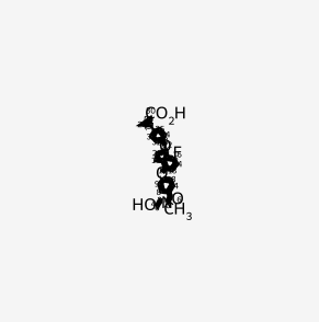 CN(CCO)C(=O)c1ccc(Oc2ccc(F)c3c2CC[C@H]3Oc2ccc([C@H]3C[C@@H]3C(=O)O)cc2)cc1